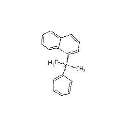 C[Si](C)(c1ccccc1)c1cccc2ccccc12